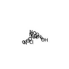 C[C@@H](Oc1cccc2ncnc(Nc3ccc(OCc4ccccn4)c(Cl)c3)c12)C(=O)N1CC[C@@H](O)C1